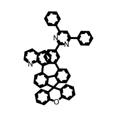 c1ccc(-c2cc(-c3ccccc3)nc(-c3cccc(-c4cccc5c4-c4c(-c6cccc7cccnc67)cccc4C54c5ccccc5Oc5ccccc54)c3)n2)cc1